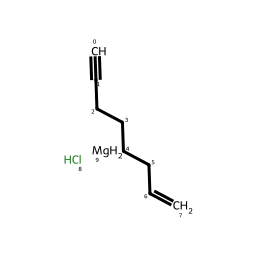 C#CCCCCC=C.Cl.[MgH2]